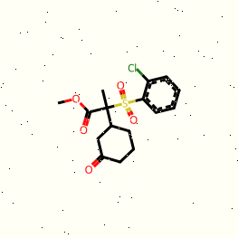 COC(=O)C(C)(C1CCCC(=O)C1)S(=O)(=O)c1ccccc1Cl